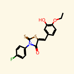 CCOc1ccc(/C=C2\SC(=S)N(c3ccc(F)cc3)C2=O)cc1O